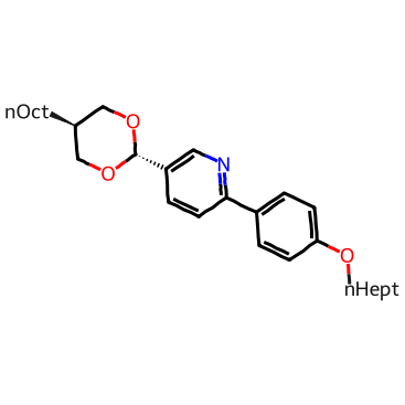 CCCCCCCC[C@H]1CO[C@H](c2ccc(-c3ccc(OCCCCCCC)cc3)nc2)OC1